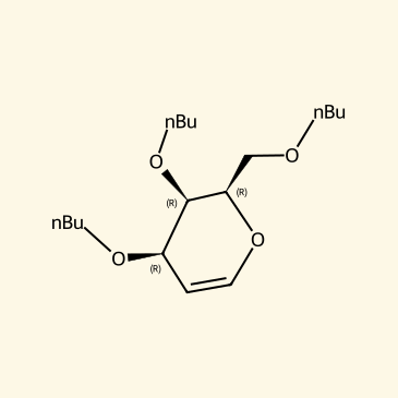 CCCCOC[C@H]1OC=C[C@@H](OCCCC)[C@H]1OCCCC